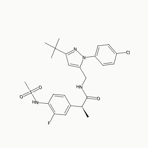 C[C@H](C(=O)NCc1cc(C(C)(C)C)nn1-c1ccc(Cl)cc1)c1ccc(NS(C)(=O)=O)c(F)c1